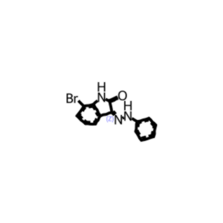 O=C1Nc2c(Br)cccc2/C1=N/Nc1ccccc1